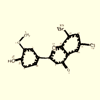 COc1cc(-c2cc(=O)c3cc(Cl)cc(Br)c3o2)ccc1O